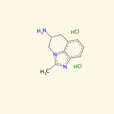 Cc1nc2cccc3c2n1CC(N)C3.Cl.Cl